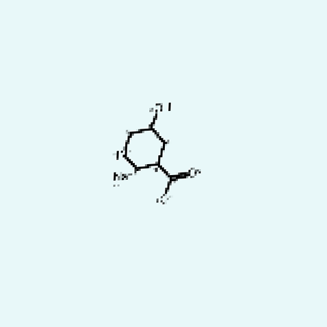 O=C([O-])C1CNCC(O)C1.[Na+]